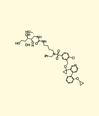 CC(C)CN(CCCCNC(=O)N[C@@H](CO)[C@@H](O)[C@H](O)[C@H](O)CO)S(=O)(=O)c1ccc(Cl)c(COC2(c3cnccc3-c3ccccc3OC3CC3)CC2)c1